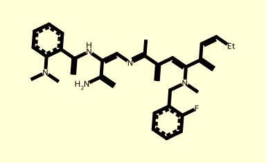 C=C(/C=C\CC)/C(=C/C(=C)/C(C)=N/C=C(/NC(=C)c1ccccc1N(C)C)C(=C)N)N(C)Cc1ccccc1F